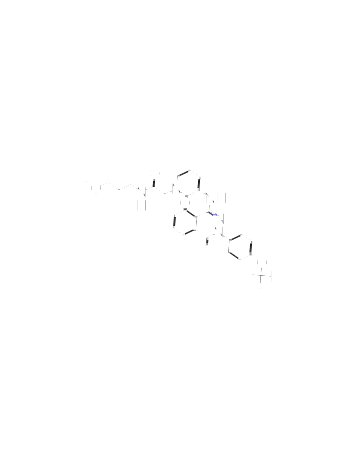 COCCCNC(=O)Cn1cccc(N/C(=N/N(C=O)c2ccc(OC(F)(F)F)cc2)c2ccccc2C)c1=O